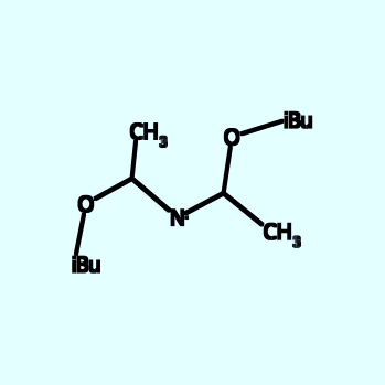 CCC(C)OC(C)[N]C(C)OC(C)CC